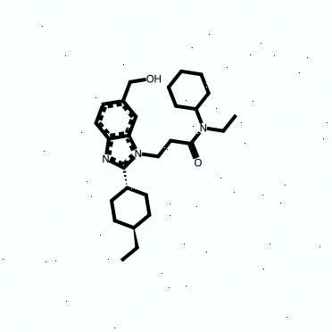 CCN(C(=O)CCn1c2cc(CO)ccc2nc1[C@H]1CC[C@H](CC)CC1)C1CCCCC1